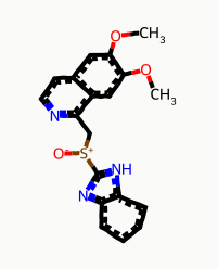 COc1cc2ccnc(C[S+]([O-])c3nc4ccccc4[nH]3)c2cc1OC